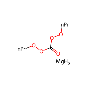 CCCOOC(=O)OOCCC.[MgH2]